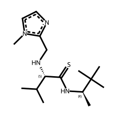 CC(C)[C@H](NCc1nccn1C)C(=S)N[C@H](C)C(C)(C)C